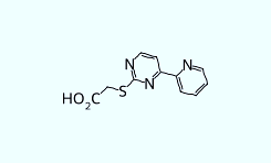 O=C(O)CSc1nccc(-c2ccccn2)n1